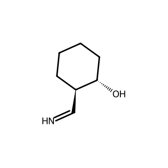 N=C[C@H]1CCCC[C@@H]1O